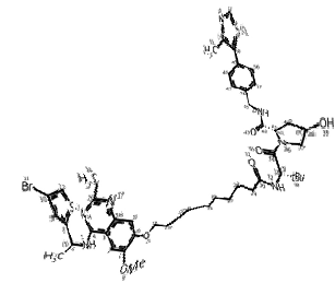 COc1cc2c(N[C@@H](C)c3cc(Br)cs3)nc(C)nc2cc1OCCCCCCCCC(=O)N[C@H](C(=O)N1C[C@H](O)C[C@H]1C(=O)NCc1ccc(-c2scnc2C)cc1)C(C)(C)C